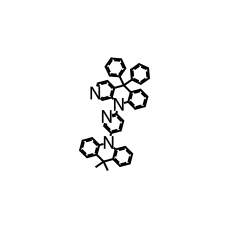 CC1(C)c2ccccc2N(c2ccc(N3c4ccccc4C(c4ccccc4)(c4ccccc4)c4ccncc43)nc2)c2ccccc21